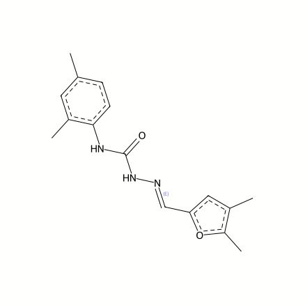 Cc1ccc(NC(=O)N/N=C/c2cc(C)c(C)o2)c(C)c1